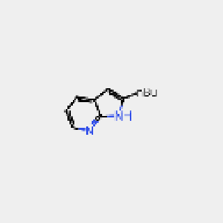 CCCCc1cc2cccnc2[nH]1